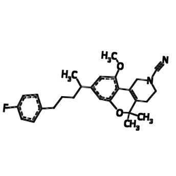 COc1cc(C(C)CCCc2ccc(F)cc2)cc2c1C1=C(CCN(C#N)C1)C(C)(C)O2